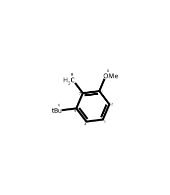 COc1[c]ccc(C(C)(C)C)c1C